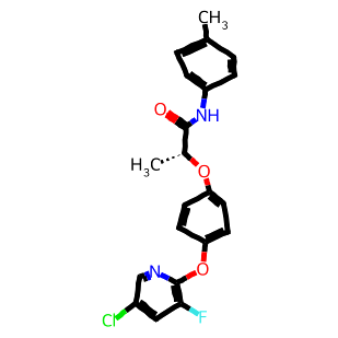 Cc1ccc(NC(=O)[C@@H](C)Oc2ccc(Oc3ncc(Cl)cc3F)cc2)cc1